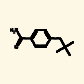 CC(C)(C)Cc1ccc(C(N)=O)cc1